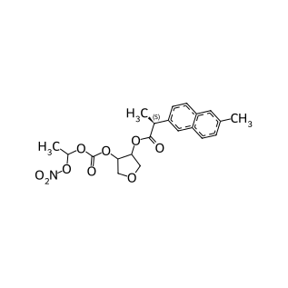 Cc1ccc2cc([C@H](C)C(=O)OC3COCC3OC(=O)OC(C)O[N+](=O)[O-])ccc2c1